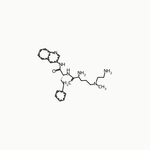 C=C(N[C@H](CCc1ccccc1)C(=O)Nc1cnc2ccccc2c1)[C@@H](N)CCCN(C)CCN